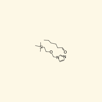 CCCCCC=O.C[Si](C)(C)CCOCn1ccnc1